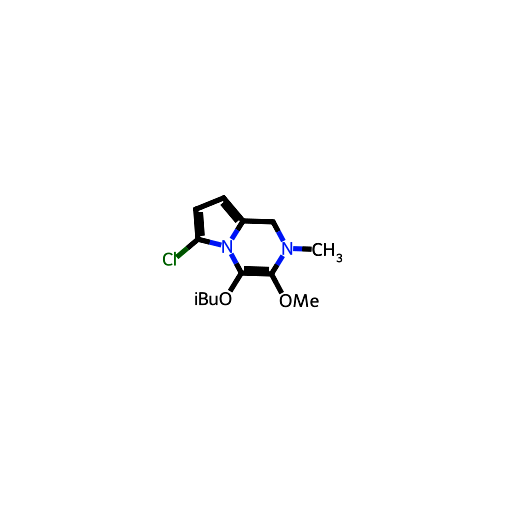 COC1=C(OCC(C)C)n2c(Cl)ccc2CN1C